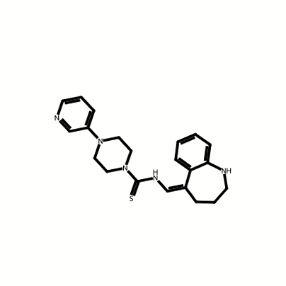 S=C(N/C=C1/CCCNc2ccccc21)N1CCN(c2cccnc2)CC1